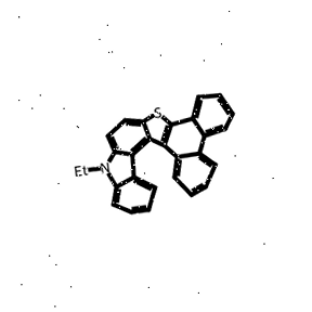 CCn1c2ccccc2c2c3c(ccc21)sc1c2ccccc2c2ccccc2c13